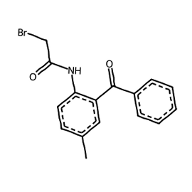 Cc1ccc(NC(=O)CBr)c(C(=O)c2ccccc2)c1